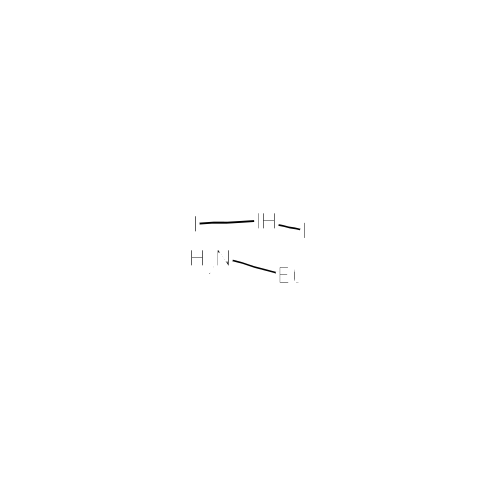 CCN.I[IH]I